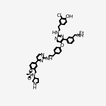 CCNCc1cccc(-c2nc(NCCc3ccc(O)c(Cl)c3)ncc2Oc2ccc(CCNc3nccc(-c4cccc(CN(C5CCNC5)S(C)(=O)=O)c4)n3)cc2)c1